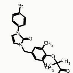 Cc1cc(Cn2ccn(-c3ccc(Br)cc3)c2=O)cc(C)c1OC(C)(C)C(=O)O